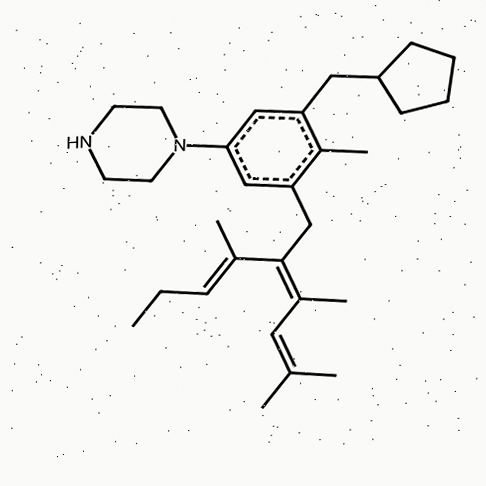 CC/C=C(C)/C(Cc1cc(N2CCNCC2)cc(CC2CCCC2)c1C)=C(/C)C=C(C)C